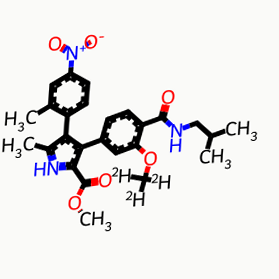 [2H]C([2H])([2H])Oc1cc(-c2c(C(=O)OC)[nH]c(C)c2-c2ccc([N+](=O)[O-])cc2C)ccc1C(=O)NCC(C)C